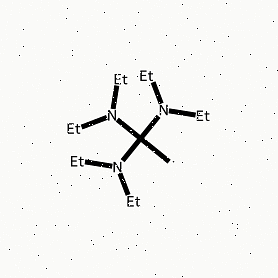 [CH2]C(N(CC)CC)(N(CC)CC)N(CC)CC